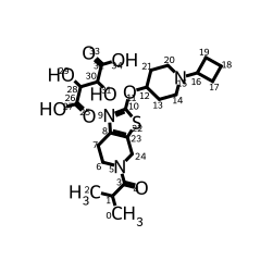 CC(C)C(=O)N1CCc2nc(OC3CCN(C4CCC4)CC3)sc2C1.O=C(O)C(O)C(O)C(=O)O